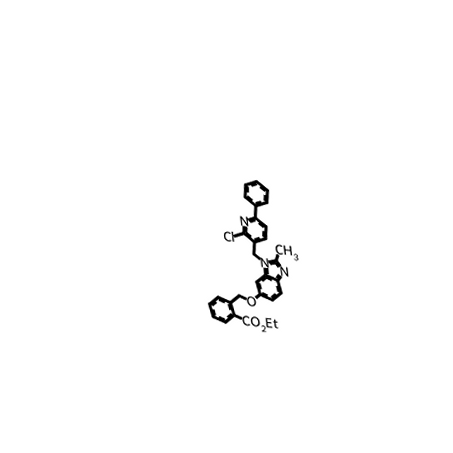 CCOC(=O)c1ccccc1COc1ccc2nc(C)n(Cc3ccc(-c4ccccc4)nc3Cl)c2c1